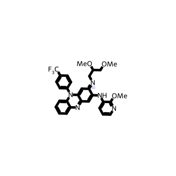 COCC(C/N=c1\cc2n(-c3ccc(C(F)(F)F)cc3)c3ccccc3nc-2cc1Nc1cccnc1OC)OC